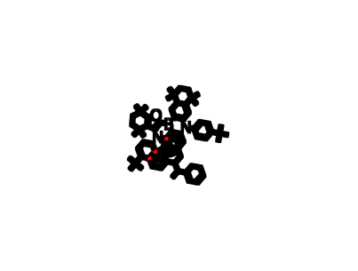 CC(C1=CC=CCC1)C(Cc1cc2c3c(c1)N(C1=CC=C(C(C)(C)C)C4CC14c1ccccc1)c1c(oc4c1C(C)(C)CCC4(C)C)B3C1=C(C=C3C(C1)C(C)(C)CCC3(C)C)N2c1ccc(C(C)(C)C)cc1)c1ccccc1